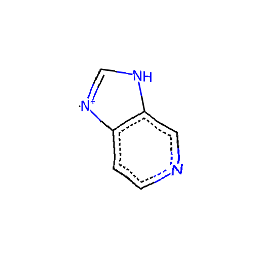 C1=[N+]c2ccncc2N1